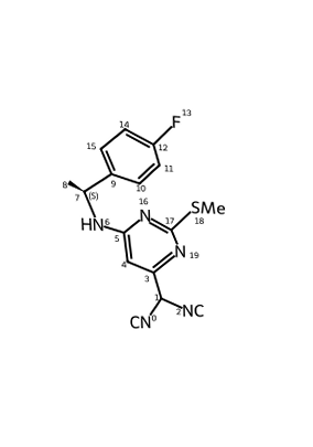 [C-]#[N+]C([N+]#[C-])c1cc(N[C@@H](C)c2ccc(F)cc2)nc(SC)n1